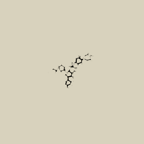 CCC(=O)N1CCCC(n2c(=O)c(-c3ccc(Cl)cc3)c(C)c3cnc(Nc4ccc(N5CCN(C)CC5)c(C)c4)nc32)C1